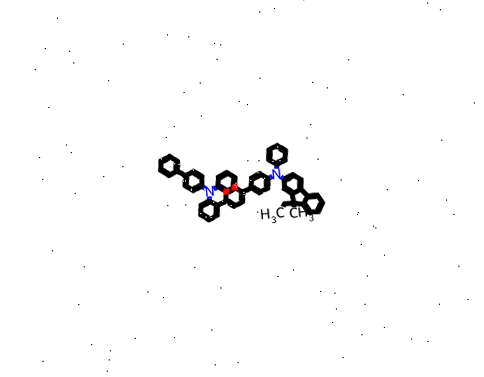 CCC1(C)c2ccccc2-c2ccc(N(c3ccccc3)c3ccc(-c4ccc(-c5ccccc5N(c5ccccc5)c5ccc(-c6ccccc6)cc5)cc4)cc3)cc21